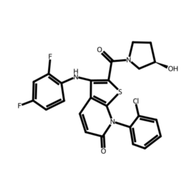 O=C(c1sc2c(ccc(=O)n2-c2ccccc2Cl)c1Nc1ccc(F)cc1F)N1CC[C@@H](O)C1